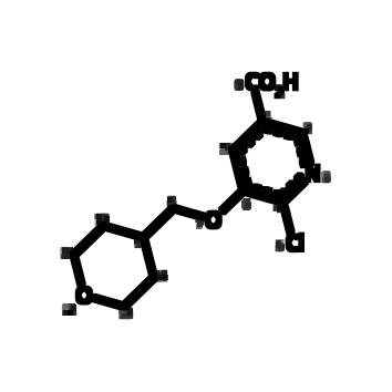 O=C(O)c1cnc(Cl)c(OCC2CCOCC2)c1